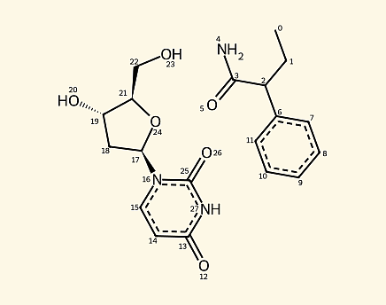 CCC(C(N)=O)c1ccccc1.O=c1ccn([C@H]2C[C@H](O)[C@@H](CO)O2)c(=O)[nH]1